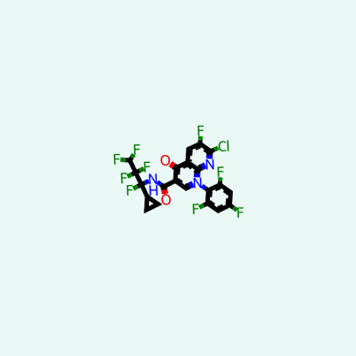 O=C(NC(F)(C1CC1)C(F)(F)C(F)F)c1cn(-c2c(F)cc(F)cc2F)c2nc(Cl)c(F)cc2c1=O